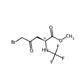 COC(=O)[C@H](CC(=O)CBr)NC(F)(F)F